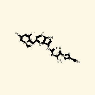 C[C@@H](NC(=O)Oc1c[nH]c2ncc(-c3ncn4cc(F)cc(F)c34)nc12)C(=O)N1CC(C#N)C1